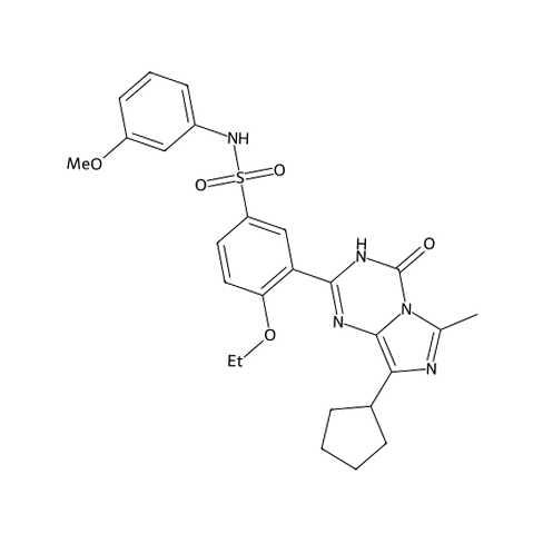 CCOc1ccc(S(=O)(=O)Nc2cccc(OC)c2)cc1-c1nc2c(C3CCCC3)nc(C)n2c(=O)[nH]1